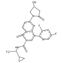 O=C(NC(C1CC1)C(F)(F)F)c1cn(-c2ncc(F)cc2F)c2nc(N3CC(O)CC3=O)ccc2c1=O